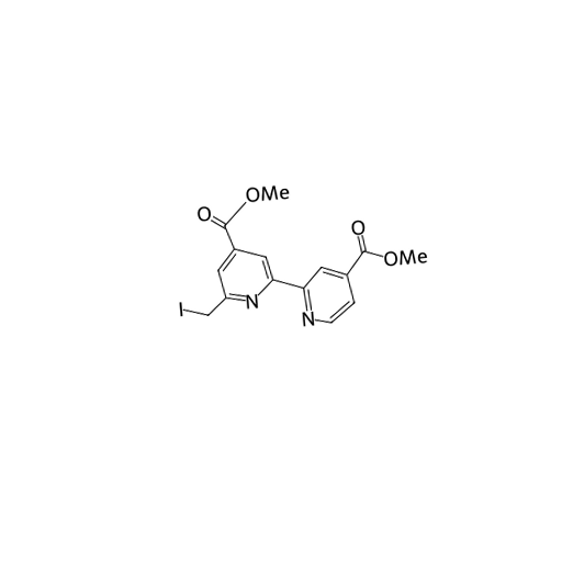 COC(=O)c1ccnc(-c2cc(C(=O)OC)cc(CI)n2)c1